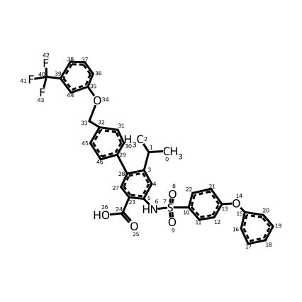 CC(C)c1cc(NS(=O)(=O)c2ccc(Oc3ccccc3)cc2)c(C(=O)O)cc1-c1ccc(COc2cccc(C(F)(F)F)c2)cc1